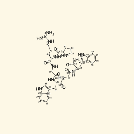 N=C(N)NCCC[C@@H](NC(=O)[C@@H]1CCCN1)C(=O)NCC(=O)N[C@@H](Cc1c[nH]c2ccccc12)C(=O)NCC(=O)N[C@@H](Cc1c[nH]c2ccccc12)C(N)=O